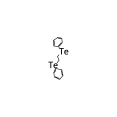 c1ccc([Te]CC[Te]c2ccccc2)cc1